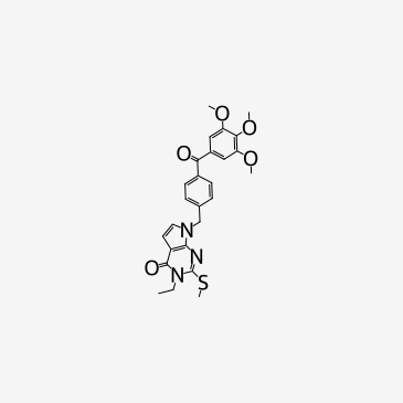 CCn1c(SC)nc2c(ccn2Cc2ccc(C(=O)c3cc(OC)c(OC)c(OC)c3)cc2)c1=O